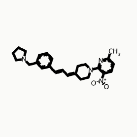 Cc1ccc([N+](=O)[O-])c(N2CCC(=CC=Cc3cccc(CN4CCCC4)c3)CC2)n1